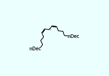 CCCCCCCCCCCCC/C=C\[C]/C=C\CCCCCCCCCCCCC